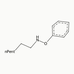 CCCCCCCNOc1ccccc1